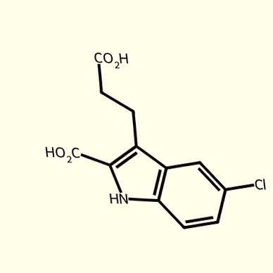 O=C(O)CCc1c(C(=O)O)[nH]c2ccc(Cl)cc12